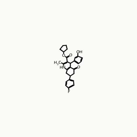 CC1=C(C(=O)OC2CCCC2)C(c2cccc(O)c2)C2=C(CC(c3ccc(F)cc3)CC2=O)N1